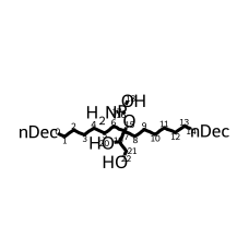 CCCCCCCCCCCCCCCCC(CCCCCCCCCCCCCCCC)(OP(N)O)C(O)CO